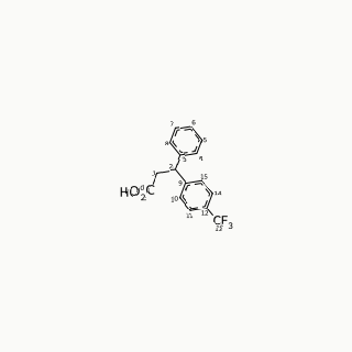 O=C(O)CC(c1ccccc1)c1ccc(C(F)(F)F)cc1